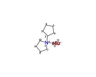 CCCC[N+]1(C2CCCC2)CCCC1.[OH-]